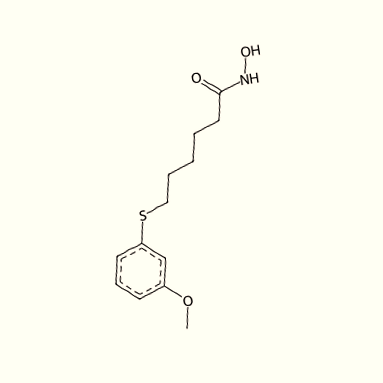 COc1cccc(SCCCCCC(=O)NO)c1